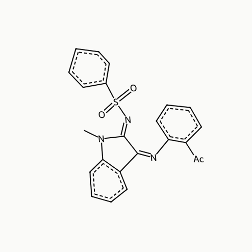 CC(=O)c1ccccc1/N=C1\C(=NS(=O)(=O)c2ccccc2)N(C)c2ccccc21